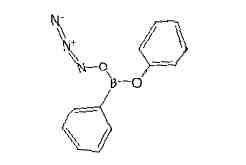 [N-]=[N+]=NOB(Oc1ccccc1)c1ccccc1